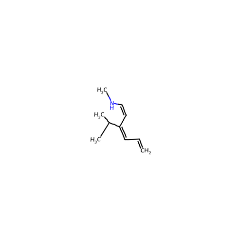 C=C/C=C(\C=C/NC)C(C)C